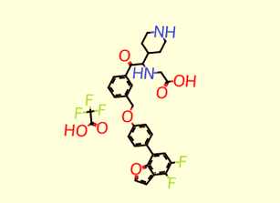 O=C(O)C(F)(F)F.O=C(O)CNC(C(=O)c1cccc(COc2ccc(-c3cc(F)c(F)c4ccoc34)cc2)c1)C1CCNCC1